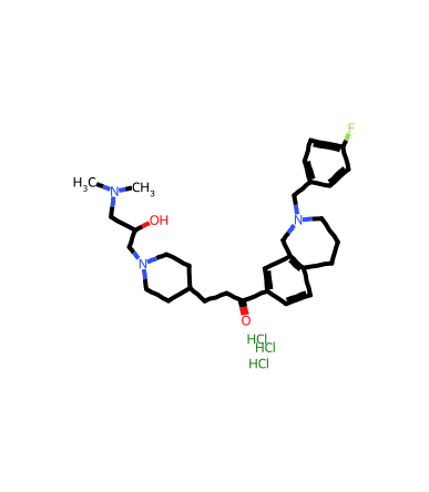 CN(C)CC(O)CN1CCC(CCC(=O)c2ccc3c(c2)CN(Cc2ccc(F)cc2)CCC3)CC1.Cl.Cl.Cl